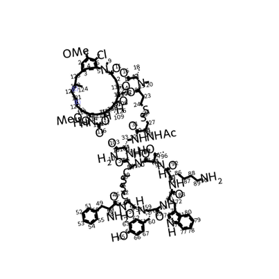 COc1cc2cc(c1Cl)N(C)C(=O)C[C@H](OC(=O)[C@H](C)N(C)C(=O)CCSSC[C@H](NC(C)=O)C(=O)NC[C@H](NC(=O)[C@@H]1CSSC[C@H](NC(=O)[C@H](N)Cc3ccccc3)C(=O)N[C@@H](Cc3ccc(O)cc3)C(=O)N[C@H](Cc3c[nH]c4ccccc34)C(=O)N[C@@H](CCCCN)C(=O)N[C@@H]([C@@H](C)O)C(=O)N1)C(N)=O)[C@]1(C)O[C@H]1[C@H](C)[C@@H]1C[C@@](O)(NC(=O)O1)[C@H](OC)/C=C/C=C(\C)C2